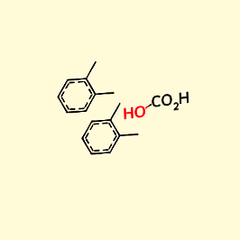 Cc1ccccc1C.Cc1ccccc1C.O=C(O)O